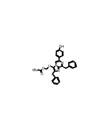 CC(C)(C)C(=O)OCOc1c(Cc2ccccc2)nc2c(Cc3ccccc3)nc(-c3ccc(O)cc3)cn12